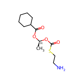 C[C@H](OC(=O)SCCN)OC(=O)C1CCCCC1